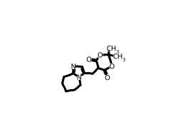 CC1(C)OC(=O)C(Cc2cnc3n2CCCCC3)C(=O)O1